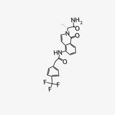 C[C@H](C(N)=O)n1ccc2c(NC(=O)Cc3ccc(C(F)(F)F)cc3)cccc2c1=O